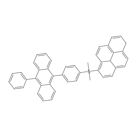 CS(C)(C1=C2C=CC3=C4C(=CC=C(C=C1)C24)CC=C3)c1ccc(-c2c3ccccc3c(-c3ccccc3)c3ccccc23)cc1